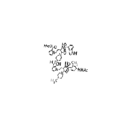 CC(=O)Nc1ccc(S(=O)(=O)NC(CCn2cccc2C#N)C(=O)N2CCC(C)CC2)c(C)c1.COC(=O)c1cccn1CCC(NS(=O)(=O)c1cccc2[nH]ccc12)C(=O)N1CCC(C)CC1